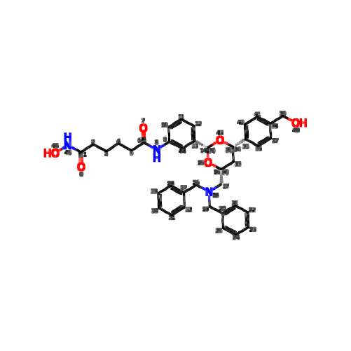 O=C(CCCCC(=O)Nc1cccc([C@H]2O[C@@H](CN(Cc3ccccc3)Cc3ccccc3)C[C@@H](c3ccc(CO)cc3)O2)c1)NO